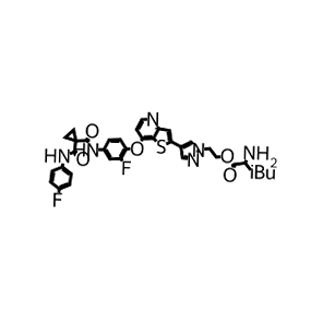 CCC(C)C(N)C(=O)OCCn1cc(-c2cc3nccc(Oc4ccc(NC(=O)C5(C(=O)Nc6ccc(F)cc6)CC5)cc4F)c3s2)cn1